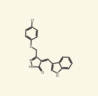 O=C1NN=C(COc2ccc(Cl)cc2)/C1=C/c1c[nH]c2ccccc12